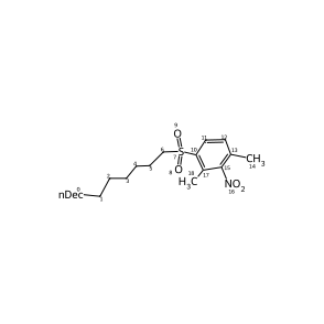 CCCCCCCCCCCCCCCCS(=O)(=O)c1[c]cc(C)c([N+](=O)[O-])c1C